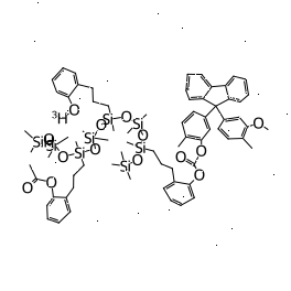 [3H]Oc1ccccc1CCC[Si](C)(O[Si](C)(C)O[Si](C)(CCCc1ccccc1OC(=O)Oc1cc(C2(c3ccc(C)c(OC)c3)c3ccccc3-c3ccccc32)ccc1C)O[Si](C)(C)C)O[Si](C)(C)O[Si](C)(CCCc1ccccc1OC(C)=O)O[Si](C)(C)O[SiH](C)C